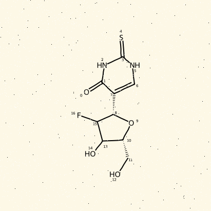 O=c1[nH]c(=S)[nH]cc1[C@@H]1O[C@H](CO)C(O)C1F